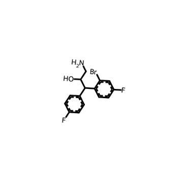 NCC(O)C(c1ccc(F)cc1)c1ccc(F)cc1Br